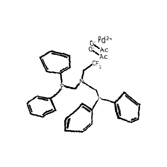 CC(=O)[O-].CC(=O)[O-].FC(F)(F)CN(CP(c1ccccc1)c1ccccc1)CP(c1ccccc1)c1ccccc1.[Pd+2]